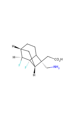 NC[C@@]1(CC(=O)O)C2CC[C@@H]3C[C@H]1[C@@]2(F)[C@H]3F